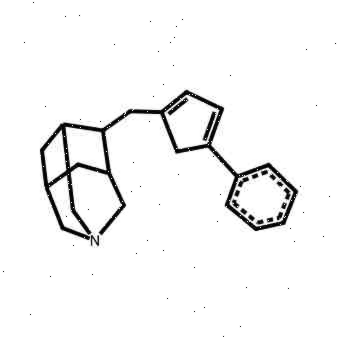 C1=C(CC2C3CC4CC2CN(C4)C3)CC(c2ccccc2)=C1